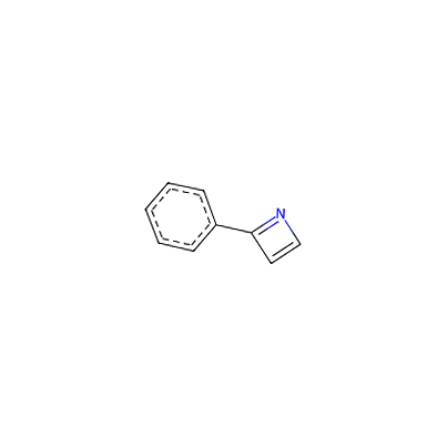 C1=CC(c2ccccc2)=N1